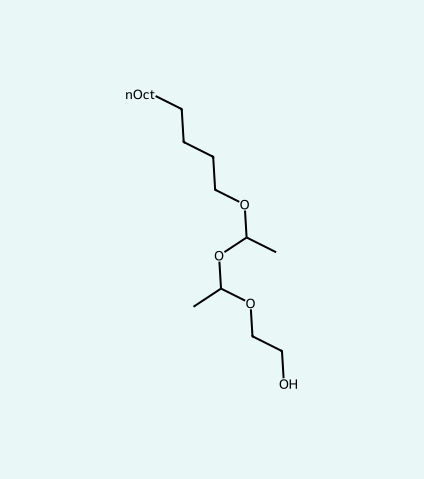 CCCCCCCCCCCCOC(C)OC(C)OCCO